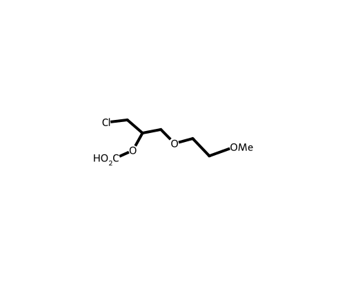 COCCOCC(CCl)OC(=O)O